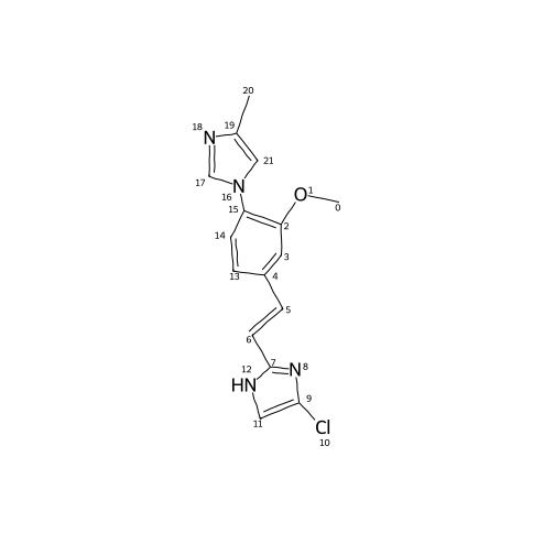 COc1cc(C=Cc2nc(Cl)c[nH]2)ccc1-n1cnc(C)c1